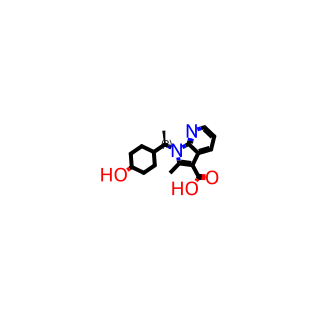 Cc1c(C(=O)O)c2cccnc2n1[C@H](C)C1CCC(O)CC1